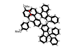 COc1ccc(N(c2ccc(OC)cc2)c2ccccc2-c2ccccc2-c2cc3c(c4ccccc24)c2ccccc2n3-c2ccc3c(c2)C(c2ccccc2)(c2ccccc2)c2ccccc2-3)cc1